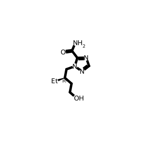 CC[C@H](CCO)Cn1ncnc1C(N)=O